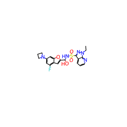 CCn1nc(S(=O)(=O)NC(O)c2cc3c(F)cc(N4CCC4)cc3o2)c2cccnc21